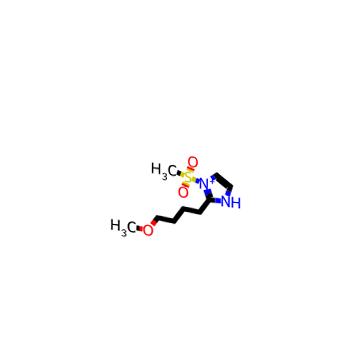 COCCCCc1[nH]cc[n+]1S(C)(=O)=O